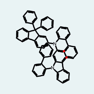 c1ccc(-c2ccccc2N(c2ccc3c(c2)C(c2ccccc2)(c2ccccc2)c2ccccc2-3)c2ccc3c4ccccc4n(-c4ccccc4-c4ccccc4)c3c2)cc1